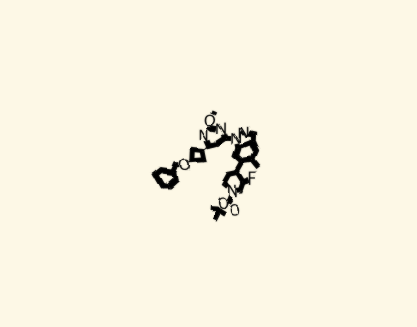 COc1nc(-n2ncc3cc(C)c(C4CCN(C(=O)OC(C)(C)C)CC4F)cc32)cc([C@H]2C[C@@H](OCc3ccccc3)C2)n1